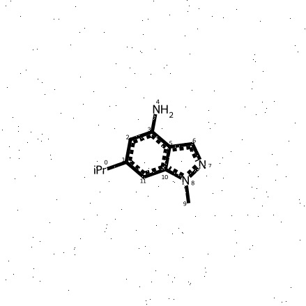 CC(C)c1cc(N)c2cnn(C)c2c1